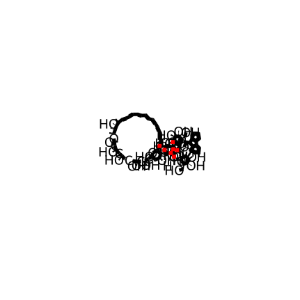 C[C@@H]1[C@H](O)[C@@H](C)/C=C/C=C/C=C/C=C/C=C/C=C/C=C/[C@H](O[C@@H]2O[C@H](C)[C@@H](O)[C@H](NC(=O)OCC3c4ccccc4-c4ccccc43)[C@@H]2O)C[C@@H]2O[C@](O)(C[C@@H](O)C[C@@H](O)[C@H](O)CC[C@@H](O)C[C@@H](O)CC(=O)O[C@H]1C)C[C@H](O)[C@H]2C(=O)NC(CO[C@H]1O[C@H](CO)[C@@H](O)[C@H](O)[C@@H]1O)CO[C@H]1O[C@H](CO)[C@@H](O)[C@H](O)[C@@H]1O